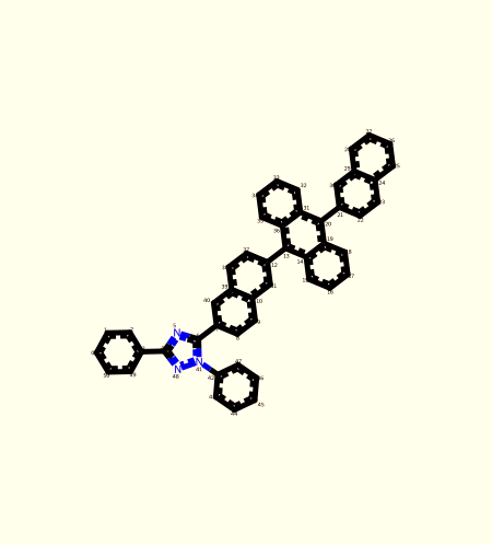 c1ccc(-c2nc(-c3ccc4cc(-c5c6ccccc6c(-c6ccc7ccccc7c6)c6ccccc56)ccc4c3)n(-c3ccccc3)n2)cc1